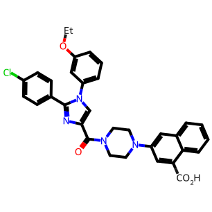 CCOc1cccc(-n2cc(C(=O)N3CCN(c4cc(C(=O)O)c5ccccc5c4)CC3)nc2-c2ccc(Cl)cc2)c1